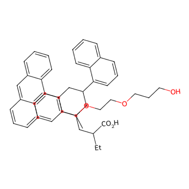 CCC(CC(CC(CC(CC(C)c1ccccc1)c1cccc2ccccc12)c1c2ccccc2cc2ccccc12)OCCOCCCO)C(=O)O